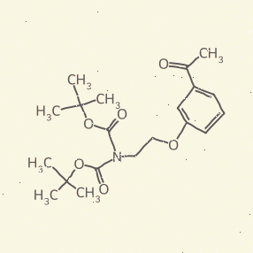 CC(=O)c1cccc(OCCN(C(=O)OC(C)(C)C)C(=O)OC(C)(C)C)c1